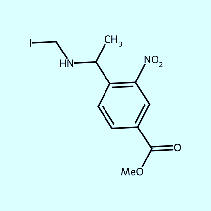 COC(=O)c1ccc(C(C)NCI)c([N+](=O)[O-])c1